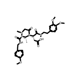 COc1ccc(CNC(=O)N2[C@@H](C)N([C@@H](CC(=O)O)C(=O)N(C)CCc3ccc(OC)c(OC)c3)C(=O)CN2C)cc1